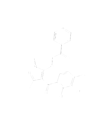 CCc1c(Cl)ccc(C(=O)c2c(C)nn(C)c2OCC(=O)c2ccccc2)c1Cl